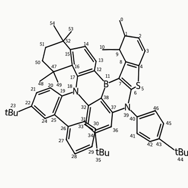 CC1C=Cc2sc3c(c2C1C)B1c2ccc4c(c2N(c2ccc(C(C)(C)C)cc2-c2ccccc2)c2cc(C(C)(C)C)cc(c21)N3c1ccc(C(C)(C)C)cc1)C(C)(C)CCC4(C)C